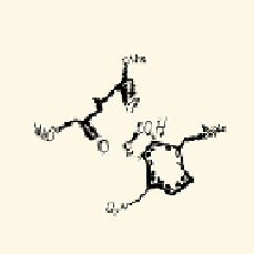 CC(=O)O.CNc1ccc([N+](=O)[O-])cc1.COC(=O)CC(=O)OC